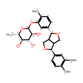 COc1ccc([C@H]2OCC3C2CO[C@H]3c2ccc(OC)c(OC3O[C@@H](C(=O)O)[C@H](O)[C@@H](O)[C@@H]3O)c2)cc1OC